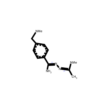 CNCc1ccc(/C(N)=N/N=C(/C)NC)cc1